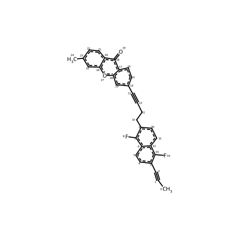 CC#Cc1ccc2c(F)c(CCC#Cc3ccc4c(=O)c5ccc(C)cc5oc4c3)ccc2c1F